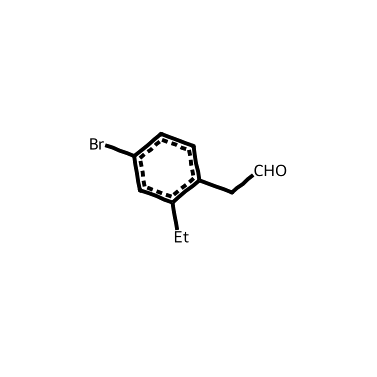 CCc1cc(Br)ccc1CC=O